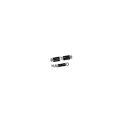 [B]#[Ti]#[B].[O]=[AlH]